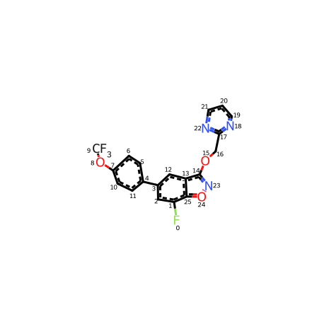 Fc1cc(-c2ccc(OC(F)(F)F)cc2)cc2c(OCc3ncccn3)noc12